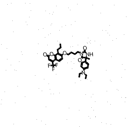 CCCc1c(OCCCCN2C(=O)NC(C)(c3ccc(N(CC)CC)cc3)C2=O)ccc2c(C(F)(F)F)cc(=O)oc12